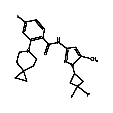 Cc1cc(NC(=O)c2ccc(I)cc2N2CCC3(CC2)CC3)nn1C1CC(F)(F)C1